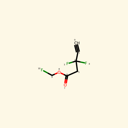 C#CC(F)(F)CC(=O)OCF